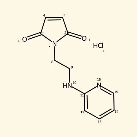 Cl.O=C1C=CC(=O)N1CCNc1ccccn1